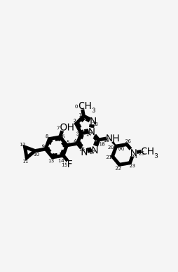 Cc1cc2c(-c3c(O)cc(C4CC4)cc3F)nnc(N[C@@H]3CCCN(C)C3)n2n1